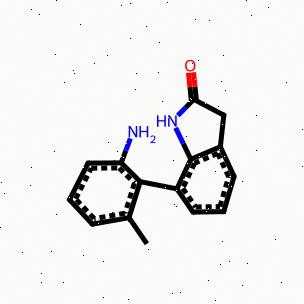 Cc1cccc(N)c1-c1cccc2c1NC(=O)C2